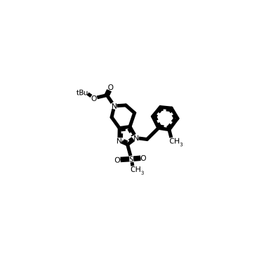 Cc1ccccc1Cn1c(S(C)(=O)=O)nc2c1CCN(C(=O)OC(C)(C)C)C2